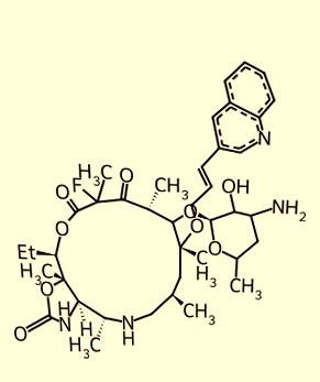 CC[C@H]1OC(=O)C(C)(F)C(=O)[C@H](C)C(O[C@@H]2OC(C)CC(N)C2O)[C@](C)(OC/C=C/c2cnc3ccccc3c2)C[C@@H](C)CN[C@H](C)[C@H]2NC(=O)O[C@@]21C